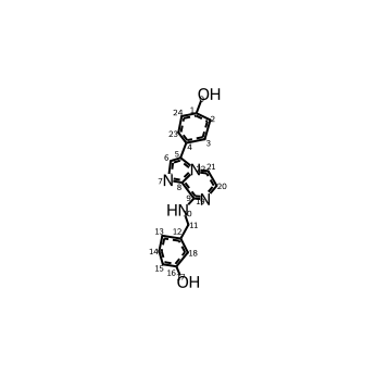 Oc1ccc(-c2cnc3c(NCc4cccc(O)c4)nccn23)cc1